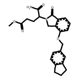 COC(=O)CCC(C(N)=O)N1Cc2c(OCc3ccc4c(c3)CCC4)cccc2C1=O